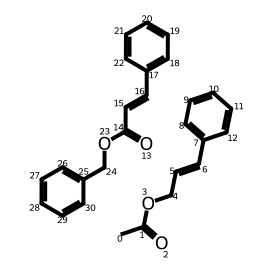 CC(=O)OCC=Cc1ccccc1.O=C(/C=C/c1ccccc1)OCc1ccccc1